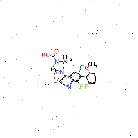 COc1cccc(F)c1-c1c(Cl)cc2c3c(cnc2c1F)OC[C@H]1CN(C(=O)O)[C@H](C)CN31